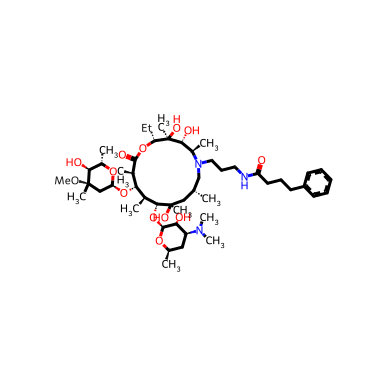 CC[C@H]1OC(=O)[C@H](C)[C@@H](O[C@H]2C[C@@](C)(OC)[C@@H](O)[C@H](C)O2)[C@H](C)[C@@H](O[C@@H]2O[C@H](C)C[C@H](N(C)C)[C@H]2O)[C@](C)(O)C[C@@H](C)CN(CCCNC(=O)CCCc2ccccc2)[C@H](C)[C@@H](O)[C@]1(C)O